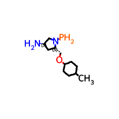 CC1CCC(OC[C@@H]2C[C@H](N)CN2P)CC1